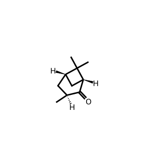 C[C@H]1C[C@H]2C[C@@H](C1=O)C2(C)C